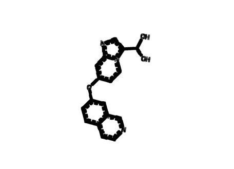 OC(O)c1cnc2cc(Oc3ccc4ccncc4c3)ccn12